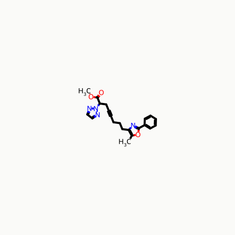 COC(=O)C(CC#CCCCc1nc(-c2ccccc2)oc1C)n1nccn1